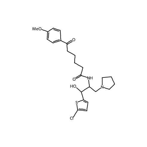 COc1ccc(C(=O)CCCCC(=O)NC(CN2CCCC2)C(O)c2ccc(Cl)s2)cc1